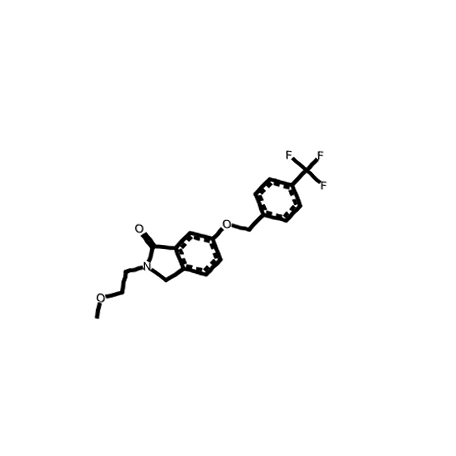 COCCN1Cc2ccc(OCc3ccc(C(F)(F)F)cc3)cc2C1=O